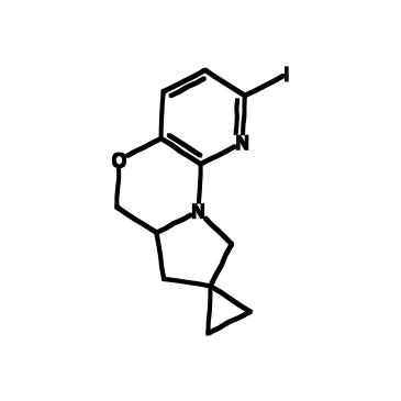 Ic1ccc2c(n1)N1CC3(CC3)CC1CO2